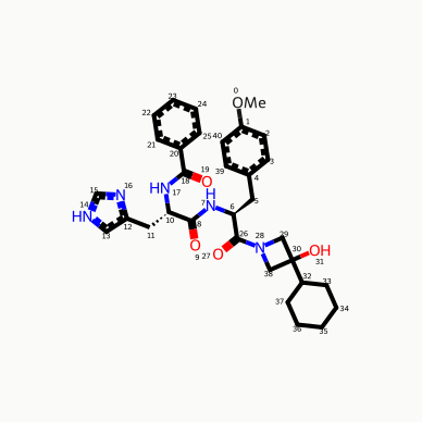 COc1ccc(C[C@H](NC(=O)[C@H](Cc2c[nH]cn2)NC(=O)c2ccccc2)C(=O)N2CC(O)(C3CCCCC3)C2)cc1